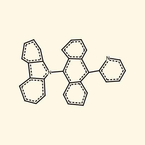 c1ccc(-c2c3ccccc3c(-n3c4ccccc4c4ccccc43)c3ccccc23)nc1